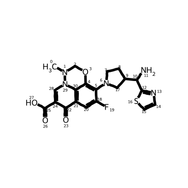 CN1COc2c(N3CCC(C(N)c4nccs4)C3)c(F)cc3c(=O)c(C(=O)O)cn1c23